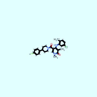 Cc1ccc(Cl)cc1Nc1c(C(=O)N2CCC(c3ccc(F)cc3)CC2)cn(C)c(=O)c1C